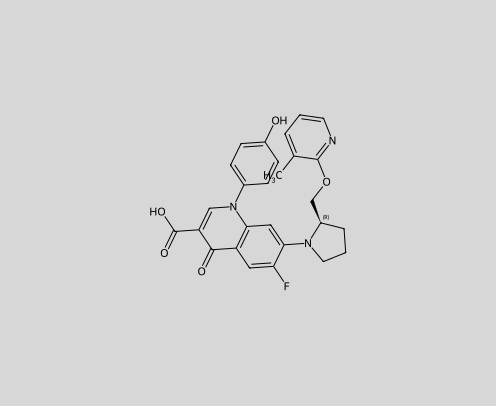 Cc1cccnc1OC[C@H]1CCCN1c1cc2c(cc1F)c(=O)c(C(=O)O)cn2-c1ccc(O)cc1